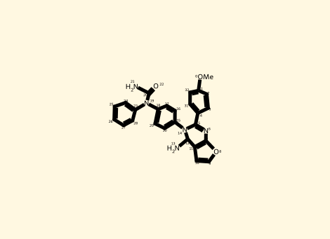 COc1ccc(C2=Nc3occc3C(N)N2c2ccc(N(C(N)=O)c3ccccc3)cc2)cc1